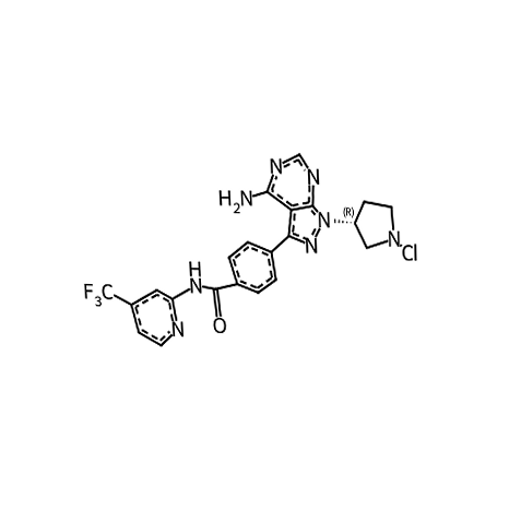 Nc1ncnc2c1c(-c1ccc(C(=O)Nc3cc(C(F)(F)F)ccn3)cc1)nn2[C@@H]1CCN(Cl)C1